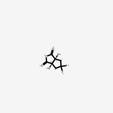 O=C1OC(=O)[C@@H]2CC(F)(F)C[C@H]12